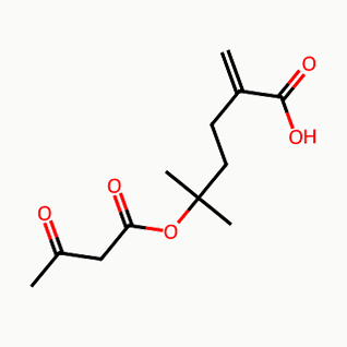 C=C(CCC(C)(C)OC(=O)CC(C)=O)C(=O)O